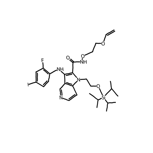 C=COCCONC(=O)c1c(Nc2ccc(I)cc2F)c2cnccc2n1CCO[Si](C(C)C)(C(C)C)C(C)C